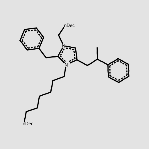 CCCCCCCCCCCCCCCC[n+]1c(CC(C)c2ccccc2)cn(CCCCCCCCCCC)c1Cc1ccccc1